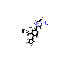 C=C(N)/C=N\C(=C/C)c1ccc(C2CCCC2)c(CC(C)C)c1F